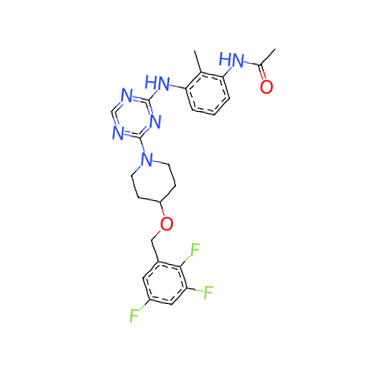 CC(=O)Nc1cccc(Nc2ncnc(N3CCC(OCc4cc(F)cc(F)c4F)CC3)n2)c1C